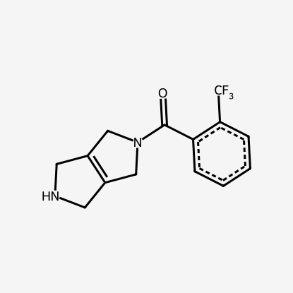 O=C(c1ccccc1C(F)(F)F)N1CC2=C(CNC2)C1